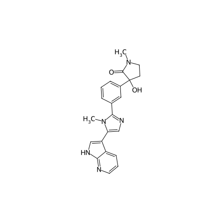 CN1CCC(O)(c2cccc(-c3ncc(-c4c[nH]c5ncccc45)n3C)c2)C1=O